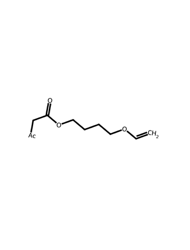 C=COCCCCOC(=O)CC(C)=O